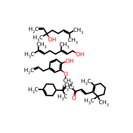 C=C(C)C1CC=C(C)CC1.C=CC(C)(O)CCC=C(C)C.C=CCc1ccc(O)c(OC)c1.CC(=O)/C=C/C1=C(C)CCCC1(C)C.CC(C)=CCC/C(C)=C/CO